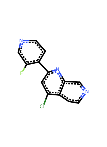 Fc1cnccc1-c1cc(Cl)c2ccncc2n1